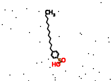 CCCCCCCCCCCCc1ccc(S(=O)O)cc1